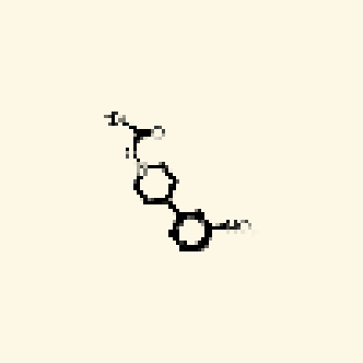 CC(C)(C)C(=O)ON1CCC(c2cccc([N+](=O)[O-])c2)CC1